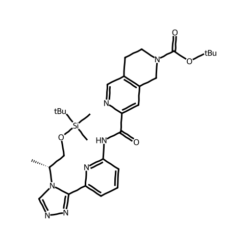 C[C@H](CO[Si](C)(C)C(C)(C)C)n1cnnc1-c1cccc(NC(=O)c2cc3c(cn2)CCN(C(=O)OC(C)(C)C)C3)n1